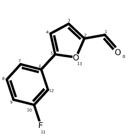 O=Cc1ccc(-c2cccc(F)c2)o1